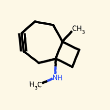 CNC12CC#CCCC1(C)CC2